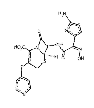 Nc1nc(/C(=N/O)C(=O)N[C@@H]2C(=O)N3C(C(=O)O)=C(Sc4ccncc4)CS[C@H]23)cs1